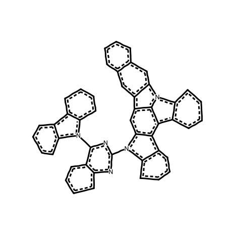 c1ccc2cc3c(cc2c1)c1cc2c(c4ccccc4n2-c2nc(-n4c5ccccc5c5ccccc54)c4ccccc4n2)c2c4ccccc4n3c12